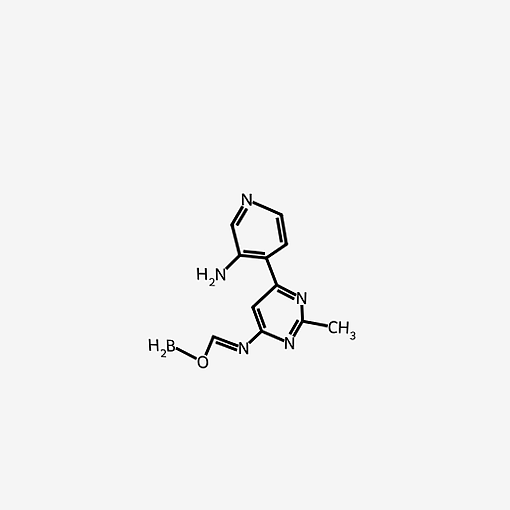 BOC=Nc1cc(-c2ccncc2N)nc(C)n1